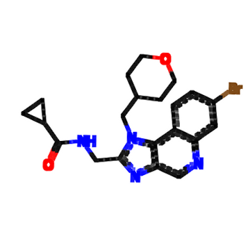 O=C(NCc1nc2cnc3cc(Br)ccc3c2n1CC1CCOCC1)C1CC1